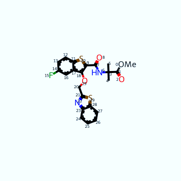 COC(=O)C(C)(C)NC(=O)c1sc2ccc(F)cc2c1OCc1nc2ccccc2s1